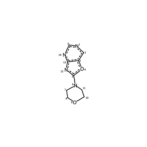 c1ncc2oc(N3CCOCC3)nc2n1